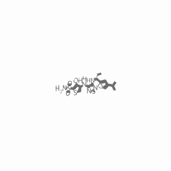 CC[C@@H](Nc1nsnc1Nc1csc(S(N)(=O)=O)c1O)c1cc(C(C)C)co1